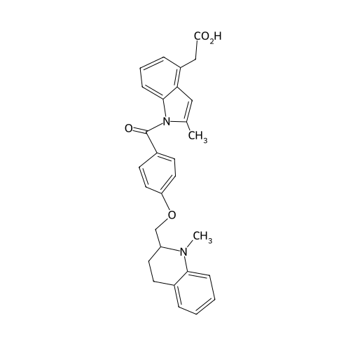 Cc1cc2c(CC(=O)O)cccc2n1C(=O)c1ccc(OCC2CCc3ccccc3N2C)cc1